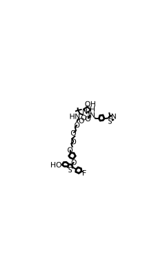 Cc1ncsc1-c1ccc(CNC(=O)[C@@H]2C[C@@H](O)CN2C(=O)C(NC(=O)COCCOCCOCCOc2ccc(Oc3c(-c4ccc(F)cc4)sc4cc(O)ccc34)cc2)C(C)(C)C)cc1